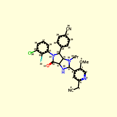 COc1cnc(CC#N)cc1C1NC2C(=O)N(c3cccc(Cl)c3F)C(c3ccc(C#N)cc3)C2N1C(C)C